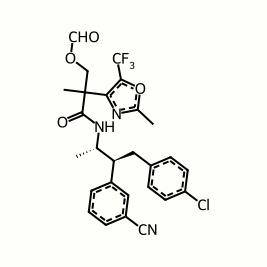 Cc1nc(C(C)(COC=O)C(=O)N[C@@H](C)[C@@H](Cc2ccc(Cl)cc2)c2cccc(C#N)c2)c(C(F)(F)F)o1